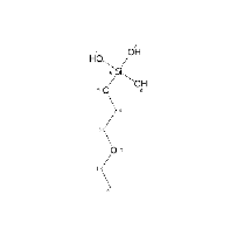 CCOCCO[Si](O)(O)O